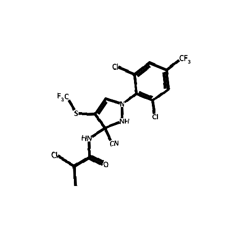 CC(Cl)C(=O)NC1(C#N)NN(c2c(Cl)cc(C(F)(F)F)cc2Cl)C=C1SC(F)(F)F